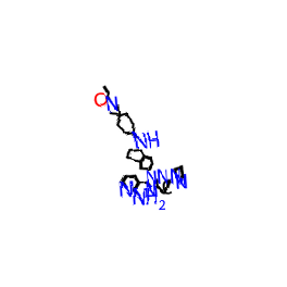 C=CC(=O)N1CC2(CCC(N[C@H]3CCc4cc(-n5c(-c6cccnc6N)nc6ccc(-n7cccn7)nc65)ccc43)CC2)C1